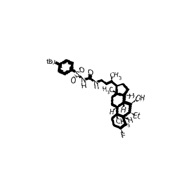 CC[C@H]1[C@@H](O)[C@@H]2[C@H](CC[C@]3(C)[C@@H]([C@H](C)CCNC(=O)NS(=O)(=O)c4ccc(C(C)(C)C)cc4)CC[C@@H]23)[C@@]2(C)CC[C@@H](F)C[C@@H]12